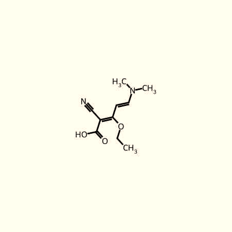 CCOC(/C=C/N(C)C)=C(/C#N)C(=O)O